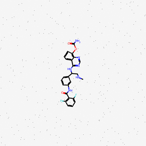 CNCC(Nc1ncnc2c(OC(N)=O)cccc12)c1cccc(NC(=O)c2c(F)cccc2F)c1